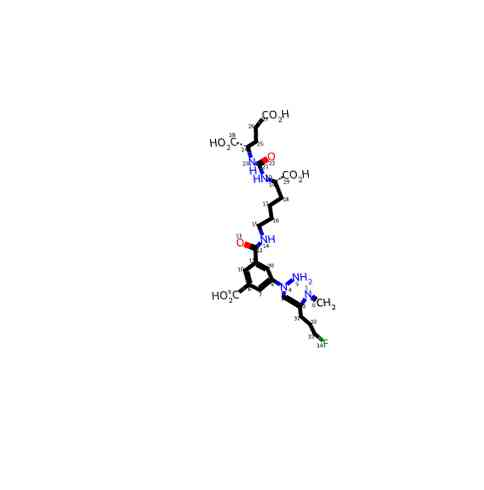 C=N/C(=C\N(N)c1cc(C(=O)O)cc(C(=O)NCCCC[C@H](NC(=O)N[C@@H](CCC(=O)O)C(=O)O)C(=O)O)c1)CCCF